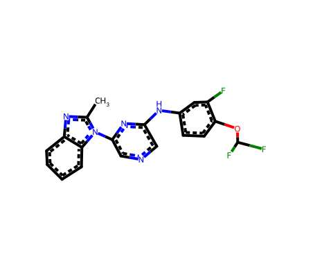 Cc1nc2ccccc2n1-c1cncc(Nc2ccc(OC(F)F)c(F)c2)n1